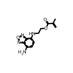 C=C(C)C(=O)OCCNc1ccc(N)c2nonc12